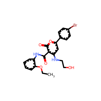 CCOc1ccccc1NC(=O)c1c(NCCO)cc(-c2ccc(Br)cc2)oc1=O